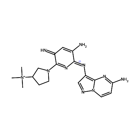 C[N+](C)(C)C1CCN(C2=N/C(=N\c3cnn4ccc(N)nc34)C(N)=CC2=N)C1